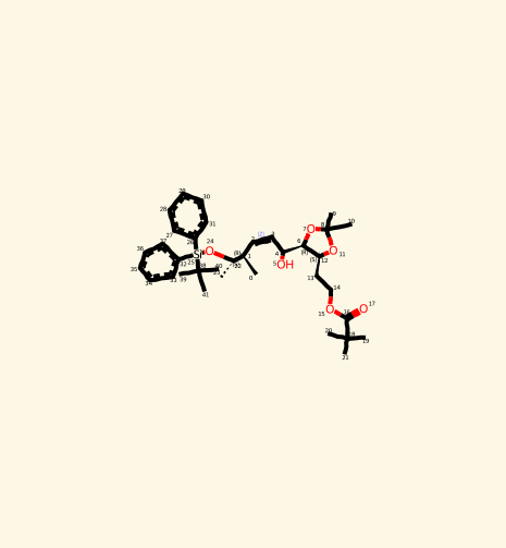 C[C@H](/C=C\C(O)[C@H]1OC(C)(C)O[C@H]1CCOC(=O)C(C)(C)C)[C@H](C)O[Si](c1ccccc1)(c1ccccc1)C(C)(C)C